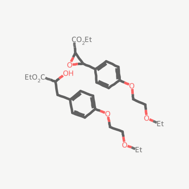 CCOCCOc1ccc(C2OC2C(=O)OCC)cc1.CCOCCOc1ccc(CC(O)C(=O)OCC)cc1